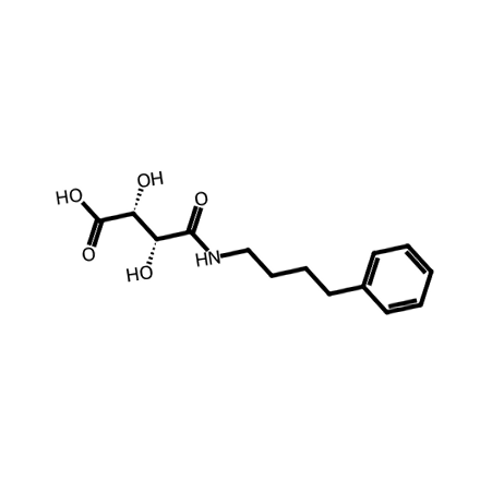 O=C(O)[C@H](O)[C@@H](O)C(=O)NCCCCc1ccccc1